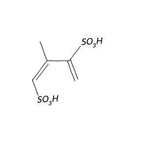 C=C(C(C)=CS(=O)(=O)O)S(=O)(=O)O